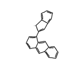 [CH]1C(c2cccc3cc4ccccc4cc23)=Cc2ccccc21